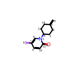 C=C1CCC(n2cc(I)ccc2=O)CC1